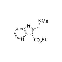 CCOC(=O)c1c(CNC)n(C)c2cccnc12